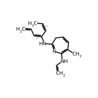 C=C/C=C(\C=C/C)NC1=NC(NC=C)=C(C)C=CC1